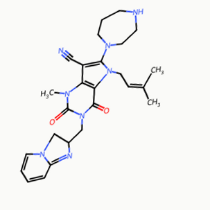 CC(C)=CCn1c(N2CCCNCC2)c(C#N)c2c1c(=O)n(CC1CN3C=CC=CC3=N1)c(=O)n2C